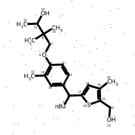 CCCCC(c1ccc(OCC(C)(C)C(C)O)c(C)c1)c1cc(C)c(CO)s1